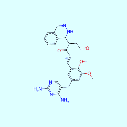 COc1cc(Cc2cnc(N)nc2N)cc(/C=C/C(=O)C(CC=O)C2NN=Cc3ccccc32)c1OC